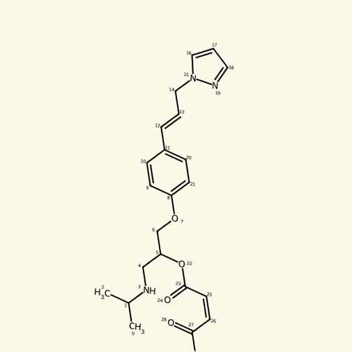 CC(C)NCC(COc1ccc(/C=C/Cn2cccn2)cc1)OC(=O)/C=C\C(=O)O